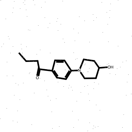 CCCC(=O)c1ccc(N2CCC(O)CC2)cc1